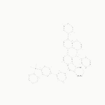 CC1(C)c2ccccc2-c2cc(-c3cccc(-n4c5ccccc5c5c6c(ccc54)-c4ccc(-c5ccccc5)c5cccc(c45)N6c4ccccc4)n3)ccc21